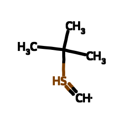 [CH]=[SH]C(C)(C)C